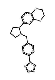 c1ncn(-c2ccc(CN3CCC[C@H]3c3ccc4c(c3)OCCO4)cc2)n1